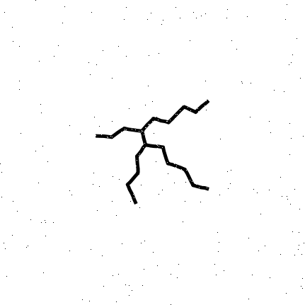 CCCCC[C](CCC)C(CCCC)CCCCC